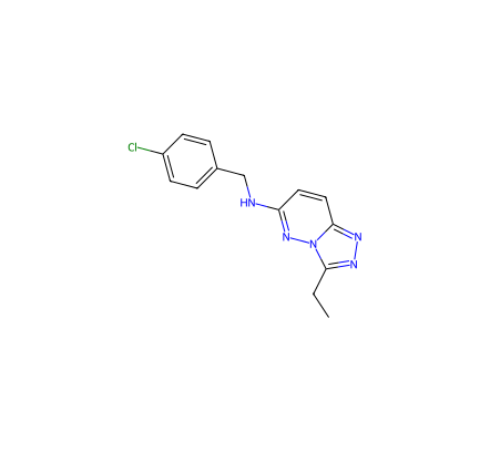 CCc1nnc2ccc(NCc3ccc(Cl)cc3)nn12